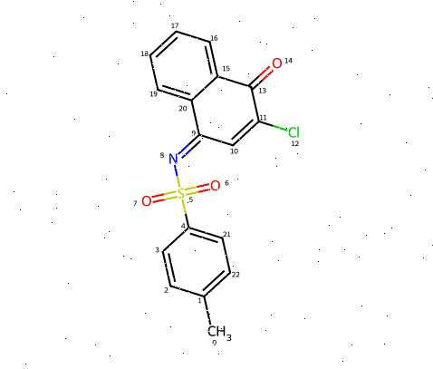 Cc1ccc(S(=O)(=O)N=C2C=C(Cl)C(=O)c3ccccc32)cc1